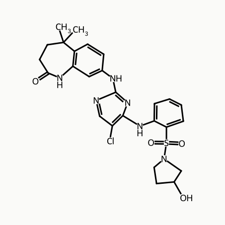 CC1(C)CCC(=O)Nc2cc(Nc3ncc(Cl)c(Nc4ccccc4S(=O)(=O)N4CCC(O)C4)n3)ccc21